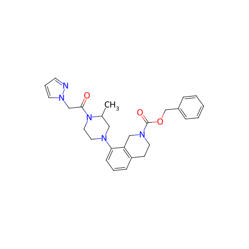 CC1CN(c2cccc3c2CN(C(=O)OCc2ccccc2)CC3)CCN1C(=O)Cn1cccn1